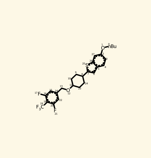 CCCCOc1ccc2cc(C3CCC(OCc4cc(F)c(C(F)(F)F)c(F)c4)CC3)sc2c1